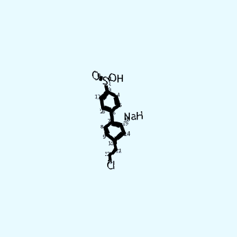 O=S(O)c1ccc(-c2ccc(CCCl)cc2)cc1.[NaH]